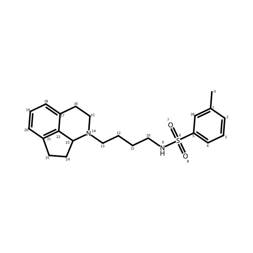 Cc1cccc(S(=O)(=O)NCCCCN2CCc3cccc4c3C2CC4)c1